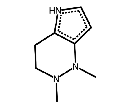 CN1CCc2[nH]ccc2N1C